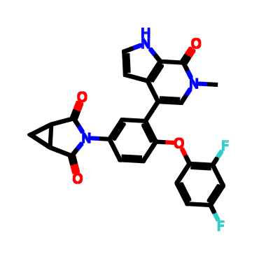 Cn1cc(-c2cc(N3C(=O)C4CC4C3=O)ccc2Oc2ccc(F)cc2F)c2cc[nH]c2c1=O